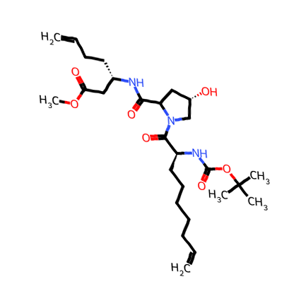 C=CCCCCC[C@H](NC(=O)OC(C)(C)C)C(=O)N1C[C@@H](O)CC1C(=O)N[C@@H](CCC=C)CC(=O)OC